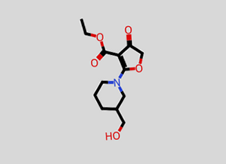 CCOC(=O)C1=C(N2CCCC(CO)C2)OCC1=O